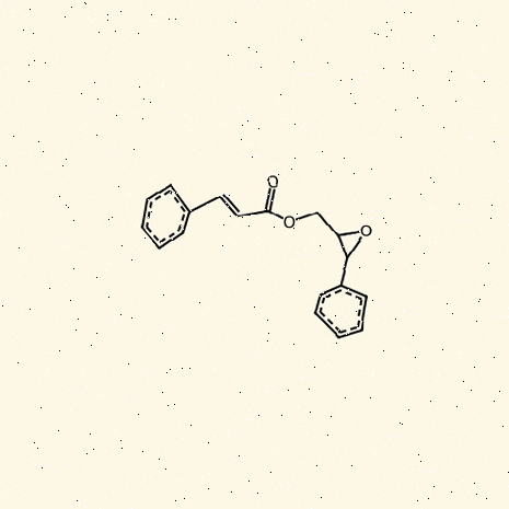 O=C(C=Cc1ccccc1)OCC1OC1c1ccccc1